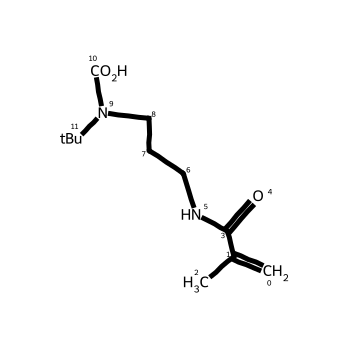 C=C(C)C(=O)NCCCN(C(=O)O)C(C)(C)C